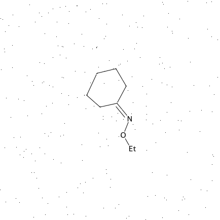 CCON=C1C[CH]CCC1